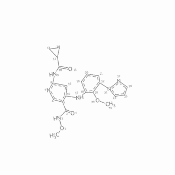 CONC(=O)c1cnc(NC(=O)C2CC2)cc1Nc1cccc(-n2cccn2)c1OC